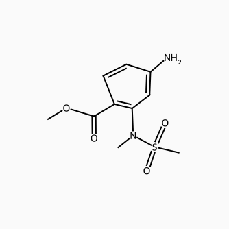 COC(=O)c1ccc(N)cc1N(C)S(C)(=O)=O